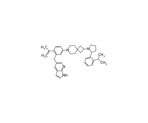 C=C(C)c1ccc(N2CCC3(CC2)CC(N2CCCC2c2ccccc2C(C)C)C3)cc1Cc1cnc2[nH]ccc2c1